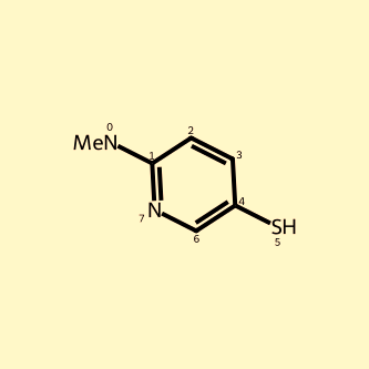 CNc1ccc(S)cn1